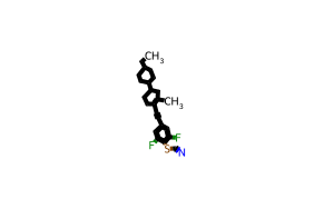 CCC1CCC(C2CCC(C#Cc3cc(F)c(SC#N)c(F)c3)=C(C)C2)CC1